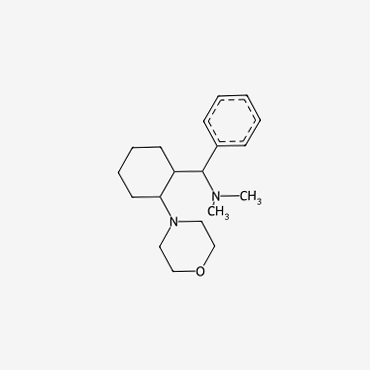 CN(C)C(c1ccccc1)C1CCCCC1N1CCOCC1